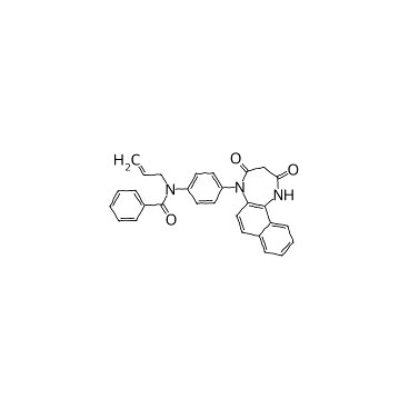 C=CCN(C(=O)c1ccccc1)c1ccc(N2C(=O)CC(=O)Nc3c2ccc2ccccc32)cc1